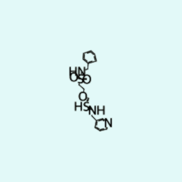 O=S(=O)(CCOC=[SH]NCc1cccnc1)NCc1ccccc1